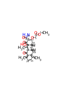 CCOC(=O)COC1=C(C(N)=O)C(=O)[C@@]2(O)C(C)=C3C(=O)c4c(C)ccc(C)c4C[C@H]3C[C@H]2C1